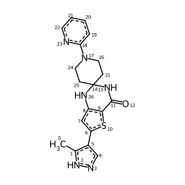 Cc1[nH]ncc1-c1cc2c(s1)C(=O)NC1(CCN(c3ccccn3)CC1)N2